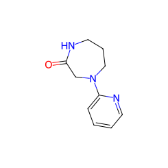 O=C1CN(c2ccccn2)CCCN1